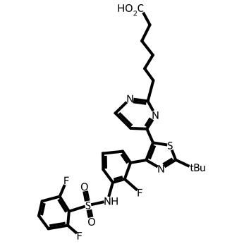 CC(C)(C)c1nc(-c2cccc(NS(=O)(=O)c3c(F)cccc3F)c2F)c(-c2ccnc(CCCCCC(=O)O)n2)s1